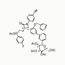 C#Cc1ccc(N2C(=O)[C@H](CC[C@H](OC(C)=O)c3ccc(F)cc3)[C@H]2c2ccc(-c3cccc(C4O[C@H](COC(C)=O)[C@@H](OC(C)=O)[C@H](OC(C)=O)[C@H]4OC(C)=O)c3)cc2OCc2ccccc2)cc1